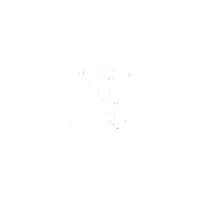 CCCC(Oc1ccc(C(=O)c2cc(CCCC(=O)OCC)n3ccccc23)cc1)c1ccc(CC(C)C)cc1